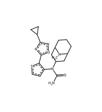 CN1C2CCCC1CC(N(C(N)=O)c1ccsc1-c1nc(C3CC3)no1)C2